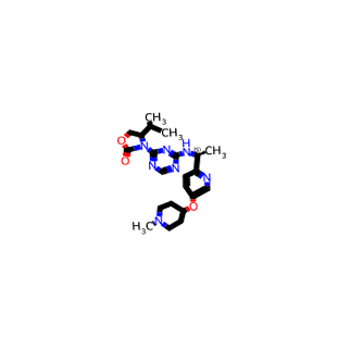 CC(C)C1COC(=O)N1c1ncnc(N[C@@H](C)c2ccc(OC3CCN(C)CC3)cn2)n1